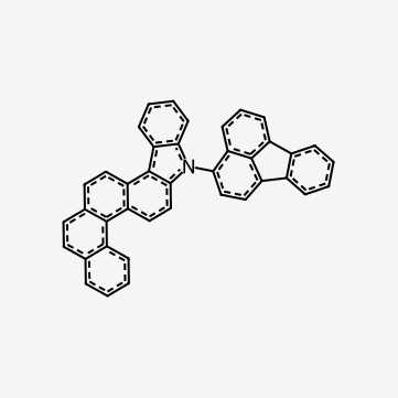 c1ccc2c(c1)-c1cccc3c(-n4c5ccccc5c5c6ccc7ccc8ccccc8c7c6ccc54)ccc-2c13